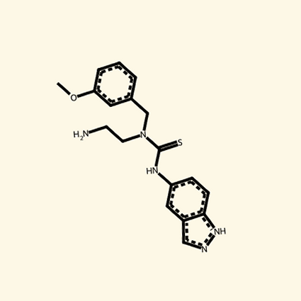 COc1cccc(CN(CCN)C(=S)Nc2ccc3[nH]ncc3c2)c1